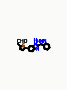 O=CCc1ccc(-c2ccc3nc(-c4[nH]nc5ccccc45)[nH]c3c2)s1